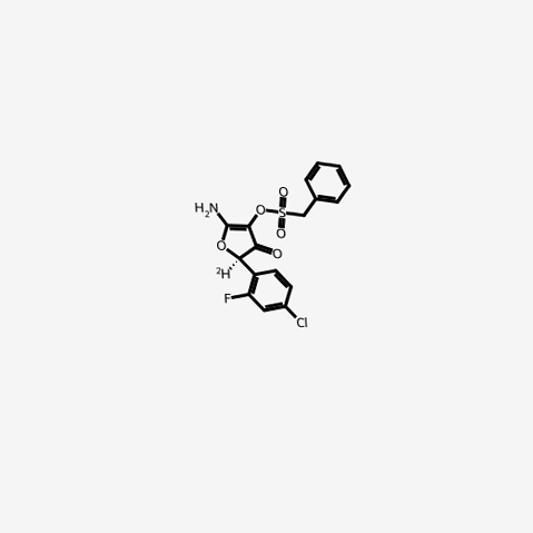 [2H][C@]1(c2ccc(Cl)cc2F)OC(N)=C(OS(=O)(=O)Cc2ccccc2)C1=O